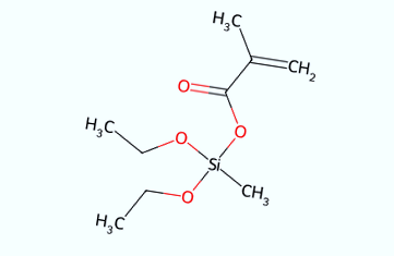 C=C(C)C(=O)O[Si](C)(OCC)OCC